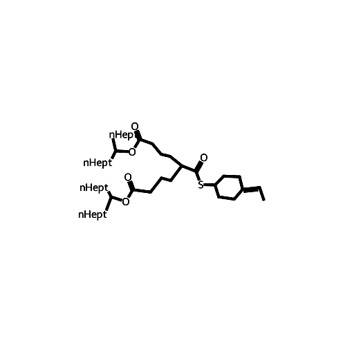 CC=C1CCC(SC(=O)C(CCCC(=O)OC(CCCCCCC)CCCCCCC)CCCC(=O)OC(CCCCCCC)CCCCCCC)CC1